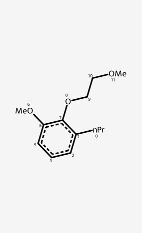 CCCc1cccc(OC)c1OCCOC